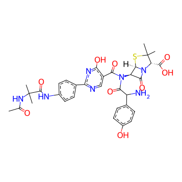 CC(=O)NC(C)(C)C(=O)Nc1ccc(-c2ncc(C(=O)N(C(=O)C(N)c3ccc(O)cc3)[C@@H]3C(=O)N4[C@@H]3SC(C)(C)[C@@H]4C(=O)O)c(O)n2)cc1